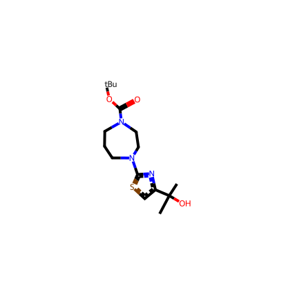 CC(C)(C)OC(=O)N1CCCN(c2nc(C(C)(C)O)cs2)CC1